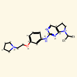 CCC(CC)N1CCc2cnc(Nc3cccc(OCCN4CCCC4)c3)nc21